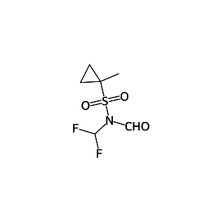 CC1(S(=O)(=O)N(C=O)C(F)F)CC1